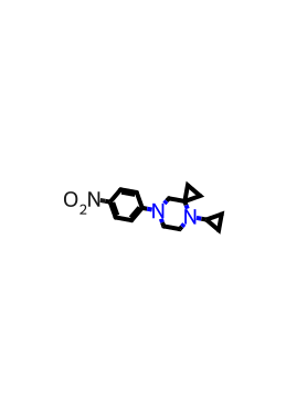 O=[N+]([O-])c1ccc(N2CCN(C3CC3)C3(CC3)C2)cc1